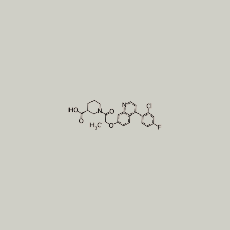 C[C@@H](Oc1ccc2c(-c3ccc(F)cc3Cl)ccnc2c1)C(=O)N1CCC[C@H](C(=O)O)C1